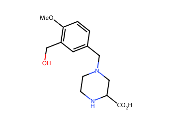 COc1ccc(CN2CCNC(C(=O)O)C2)cc1CO